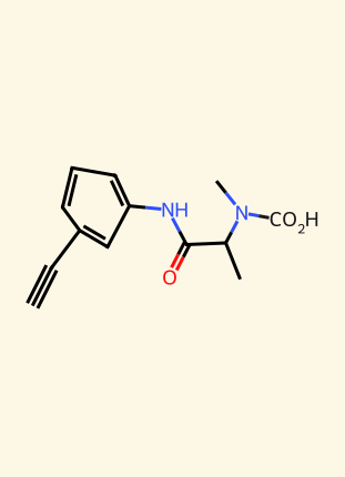 C#Cc1cccc(NC(=O)C(C)N(C)C(=O)O)c1